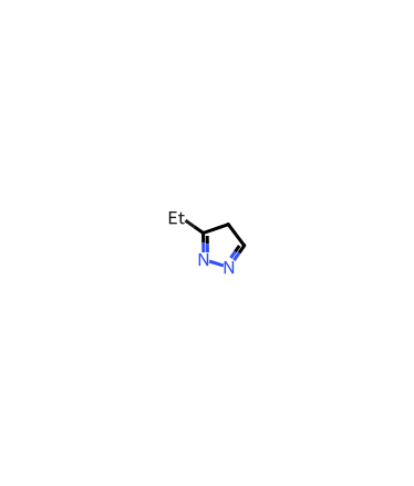 CCC1=NN=CC1